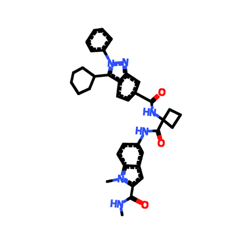 CNC(=O)c1cc2cc(NC(=O)C3(NC(=O)c4ccc5c(C6CCCCC6)n(-c6ccccc6)nc5c4)CCC3)ccc2n1C